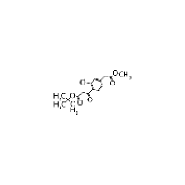 COC(=O)Cc1ccc(C(=O)CC(=O)OC(C)(C)C)c(Cl)c1